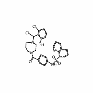 O=C(c1ccc(NS(=O)(=O)c2cccc3cccnc23)cc1)N1CCCN(C(Cl)c2c(O)cccc2Cl)CC1